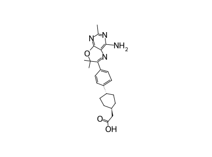 Cc1nc(N)c2c(n1)OC(C)(C)C(c1ccc([C@H]3CC[C@H](CC(=O)O)CC3)cc1)=N2